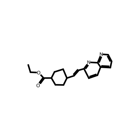 CCOC(=O)C1CCC(/C=C/c2ccc3cccnc3n2)CC1